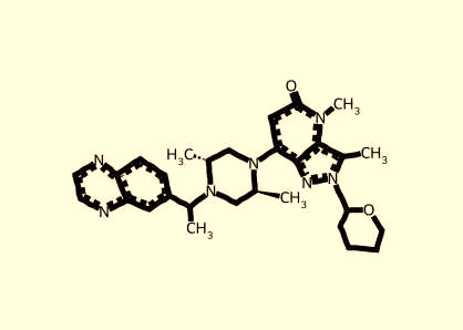 Cc1c2c(nn1C1CCCCO1)c(N1C[C@@H](C)N(C(C)c3ccc4nccnc4c3)C[C@@H]1C)cc(=O)n2C